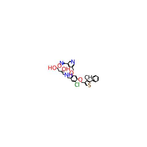 Cc1c(COc2cc(OCc3cncc(C#N)c3)c(CNC[C@@H](O)CC(=O)O)cc2Cl)csc1-c1ccccc1